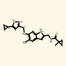 CC1(C(=O)NCc2cc3cc(Cl)c(OCc4cc(C5CC5)on4)cc3[nH]2)CC1